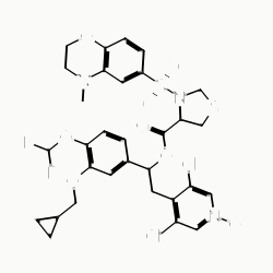 CN1CCOc2ccc(S(=O)(=O)N3CSCC3C(=O)OC(Cc3c(Cl)c[n+]([O-])cc3Cl)c3ccc(OC(F)F)c(OCC4CC4)c3)cc21